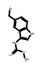 CC(=O)Cc1ccc2[nH]cc(NC(=O)OC(C)(C)C)c2c1